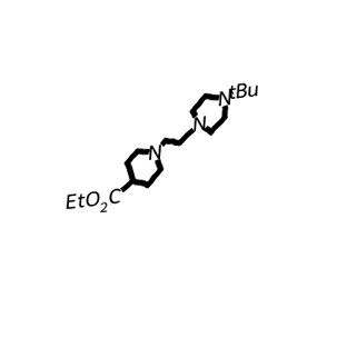 CCOC(=O)C1CCN(CCN2CCN(C(C)(C)C)CC2)CC1